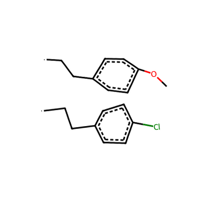 [CH2]CCc1ccc(Cl)cc1.[CH2]CCc1ccc(OC)cc1